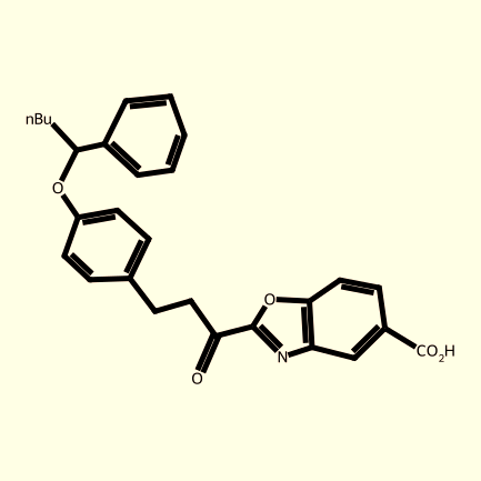 CCCCC(Oc1ccc(CCC(=O)c2nc3cc(C(=O)O)ccc3o2)cc1)c1ccccc1